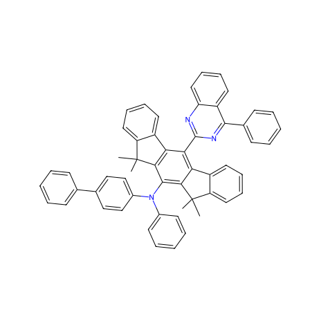 CC1(C)c2ccccc2-c2c(-c3nc(-c4ccccc4)c4ccccc4n3)c3c(c(N(c4ccccc4)c4ccc(-c5ccccc5)cc4)c21)C(C)(C)c1ccccc1-3